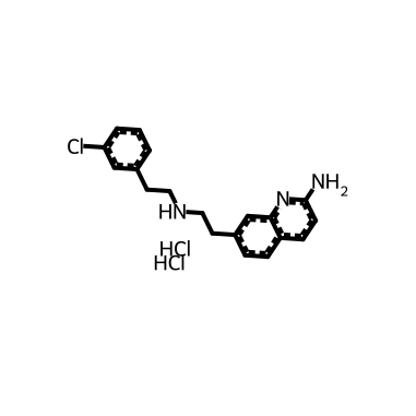 Cl.Cl.Nc1ccc2ccc(CCNCCc3cccc(Cl)c3)cc2n1